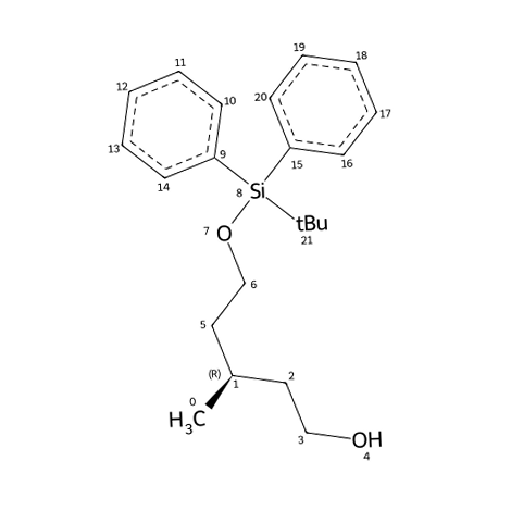 C[C@H](CCO)CCO[Si](c1ccccc1)(c1ccccc1)C(C)(C)C